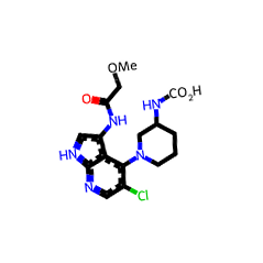 COCC(=O)Nc1c[nH]c2ncc(Cl)c(N3CCCC(NC(=O)O)C3)c12